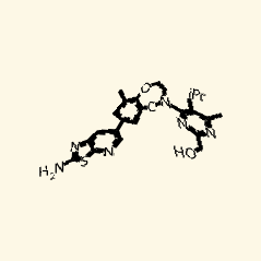 Cc1cc(-c2cnc3sc(N)nc3c2)cc2c1OCCN(c1nc(CO)nc(C)c1C(C)C)C2